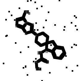 Cc1cnc2sc(N3CCC4(CC3)Cc3ccccc3[C@H]4NC(=O)OC(C)(C)C)nn12